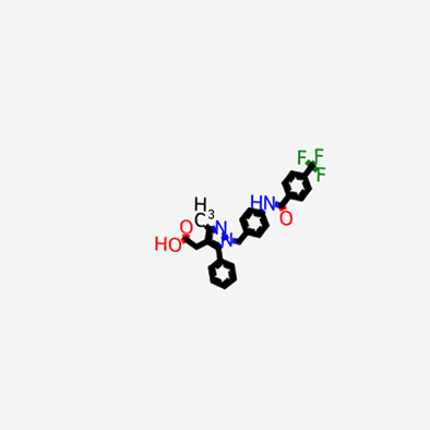 Cc1nn(Cc2ccc(NC(=O)c3ccc(C(F)(F)F)cc3)cc2)c(-c2ccccc2)c1CC(=O)O